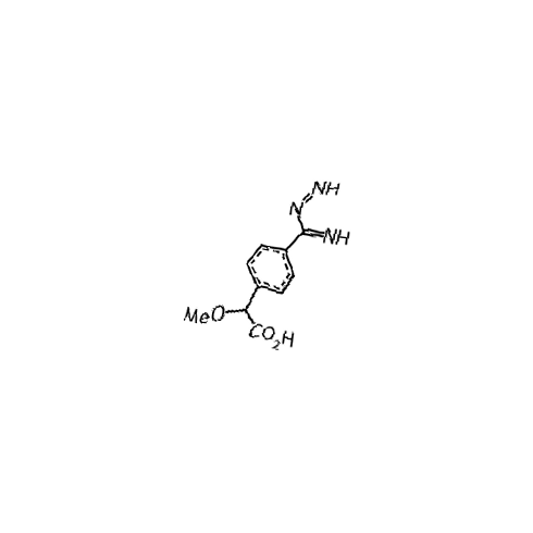 COC(C(=O)O)c1ccc(C(=N)N=N)cc1